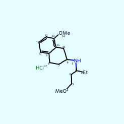 CCC(CCOC)NC1CCc2cccc(OC)c2C1.Cl